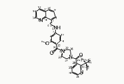 COc1cc(NSc2cccc3cccnc23)ccc1C(=O)N1CCN(C(=O)c2cccnc2C(F)(F)F)CC1